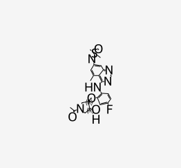 CC(=O)N1C[C@@H](O)[C@H](Oc2cc(F)ccc2Nc2ncnc3cc(N=S(C)(C)=O)cc(C)c23)C1